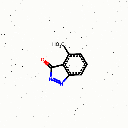 O=C(O)c1cccc2c1C(=O)N=N2